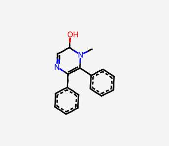 CN1C(c2ccccc2)=C(c2ccccc2)N=CC1O